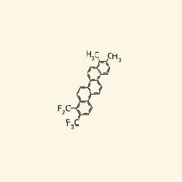 Cc1ccc2c(ccc3c2ccc2c4ccc(C(F)(F)F)c(C(F)(F)F)c4ccc23)c1C